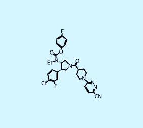 CCN(C(=O)Oc1ccc(F)cc1)[C@@H]1CN(C(=O)C2CCN(c3ccc(C#N)nn3)CC2)C[C@H]1c1ccc(Cl)c(F)c1